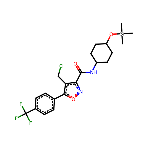 C[Si](C)(C)OC1CCC(NC(=O)c2noc(-c3ccc(C(F)(F)F)cc3)c2CCl)CC1